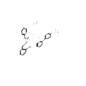 CCCCN(CCc1cc(F)ccc1COc1ccc(-c2ccc(C#N)cc2)cc1)Cc1ccc(C(=O)O)cc1